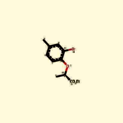 CCOC(=O)[C@@H](C)Oc1ccc(C)cc1Br